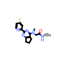 CN(CC(=O)NC(C)(C)C)c1nc(-c2cc(F)ccn2)nc2c1CCC2